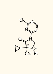 CC[C@H]1CN(c2ccnc(Cl)n2)C(=O)[C@]1(C#N)C1CC1